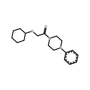 O=C(COC1CCCCC1)N1CCN(c2ccccc2)CC1